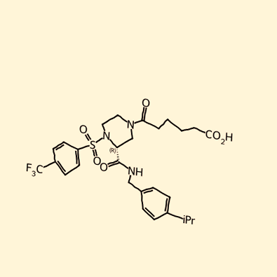 CC(C)c1ccc(CNC(=O)[C@H]2CN(C(=O)CCCCC(=O)O)CCN2S(=O)(=O)c2ccc(C(F)(F)F)cc2)cc1